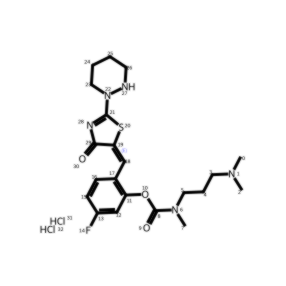 CN(C)CCCN(C)C(=O)Oc1cc(F)ccc1/C=C1/SC(N2CCCCN2)=NC1=O.Cl.Cl